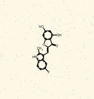 Cc1[nH]c2ccc(F)cc2c1C=C1Oc2cc(O)cc(O)c2C1=O